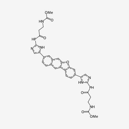 COC(=O)NCCC(=O)Pc1ncc(-c2ccc3cc4c(cc3c2)oc2cc(-c3cnc(PC(=O)CCNC(=O)OC)[nH]3)ccc24)[nH]1